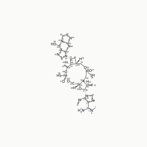 C=Nc1c(/C(N)=N\C)ncn1[C@@H]1O[C@@H]2COP(=O)(S)OC(=C)[C@@H]3[C@@H](COP(=O)(S)C[C@H]2[C@H]1F)C[C@H]3n1cnc2c(O)n3ccnc3nc21